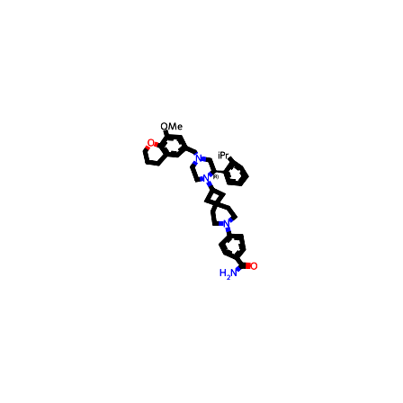 COc1cc(CN2CCN(C3CC4(CCN(c5ccc(C(N)=O)cc5)CC4)C3)[C@H](c3ccccc3C(C)C)C2)cc2c1OCCC2